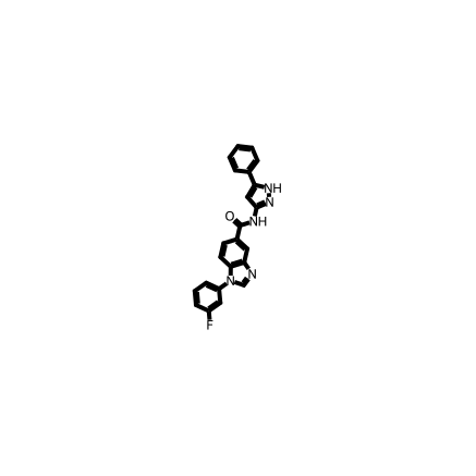 O=C(Nc1cc(-c2ccccc2)[nH]n1)c1ccc2c(c1)ncn2-c1cccc(F)c1